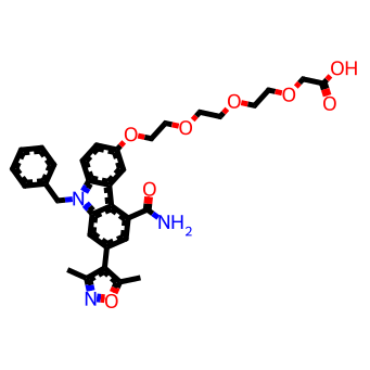 Cc1noc(C)c1-c1cc(C(N)=O)c2c3cc(OCCOCCOCCOCC(=O)O)ccc3n(Cc3ccccc3)c2c1